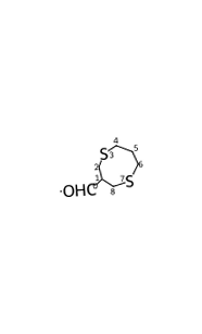 O=[C]C1CSCCCSC1